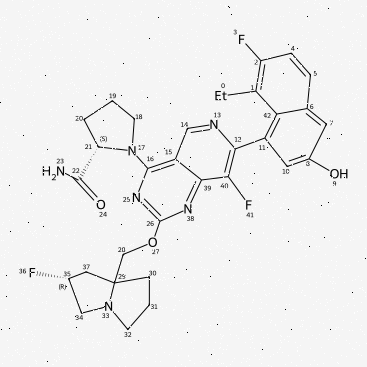 CCc1c(F)ccc2cc(O)cc(-c3ncc4c(N5CCC[C@H]5C(N)=O)nc(OCC56CCCN5C[C@H](F)C6)nc4c3F)c12